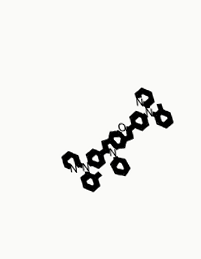 Cc1ccccc1N(c1ccc(-c2cc3cc4c(cc(-c5ccc(N(c6ccccn6)c6ccccc6C)cc5)n4-c4ccccc4)cc3o2)cc1)c1ccccn1